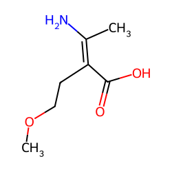 COCCC(C(=O)O)=C(C)N